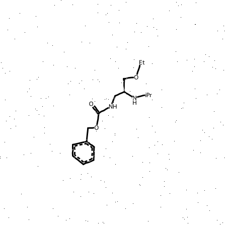 CCOC[C@H](CNC(=O)OCc1ccccc1)NC(C)C